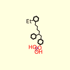 CCc1ccccc1CCCCC(Cc1ccc(OP(O)O)cc1)c1ccccc1